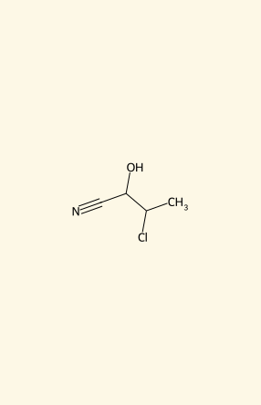 CC(Cl)C(O)C#N